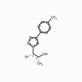 CC[C@@H]([C@@H](C)O)n1cc(-c2ccc(C)cc2)nn1